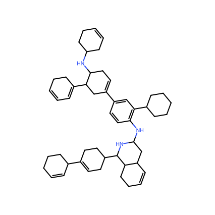 C1=CCCC(C2CC(c3ccc(NC4CC5C=CCCC5C(C5CC=C(C6C=CCCC6)CC5)N4)c(C4CCCCC4)c3)=CCC2NC2CC=CCC2)=C1